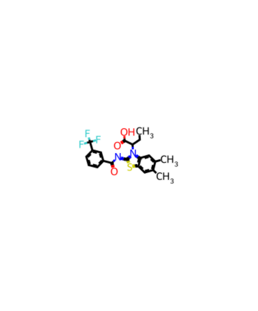 CCC(C(=O)O)n1c(=NC(=O)c2cccc(C(F)(F)F)c2)sc2cc(C)c(C)cc21